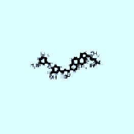 CCC(/C=C/C(C)C1CCC2C3CC=C4CC(C(/C=C/c5ccc(OCc6cc(N)cc(N)c6)c(CO)c5)OO)CCC4(C)C3CCC12C)C(C)C